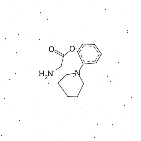 NCC([O])=O.c1ccc(N2CCCCC2)cc1